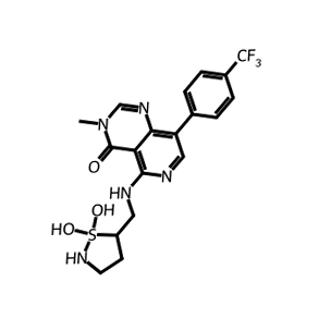 Cn1cnc2c(-c3ccc(C(F)(F)F)cc3)cnc(NCC3CCNS3(O)O)c2c1=O